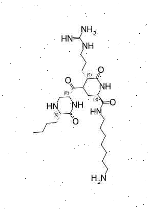 CCCC[C@@H]1NC[C@H](C(=O)C2C[C@H](C(=O)NCCCCCCCN)NC(=O)[C@H]2CCCNC(=N)N)NC1=O